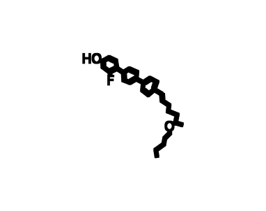 CCCCCOC(C)CCCC=Cc1ccc(-c2ccc(-c3ccc(O)cc3F)cc2)cc1